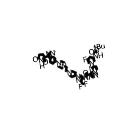 Cn1nc(C2CCC(=O)NC2=O)c2ccc(N3CCN(CCN4CCC(n5cc(NC(=O)c6cnn7ccc(N8C[C@H](F)C[C@@H](NC(=O)OC(C)(C)C)C8)nc67)c(C(F)F)n5)CC4)CC3)cc21